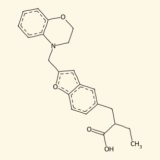 CCC(Cc1ccc2oc(CN3CCOc4ccccc43)cc2c1)C(=O)O